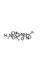 CC(C)(N)c1ccc(NC(=O)c2cc(C3CC3)on2)cc1